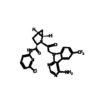 Nc1ncnc2c1c1cc(C(F)(F)F)ccc1n2CC(=O)N1[C@@H]2C[C@@H]2C[C@H]1C(=O)Nc1cccc(Cl)n1